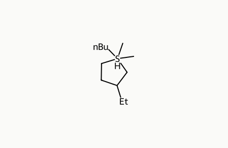 CCCC[SH]1(C)(C)CCC(CC)C1